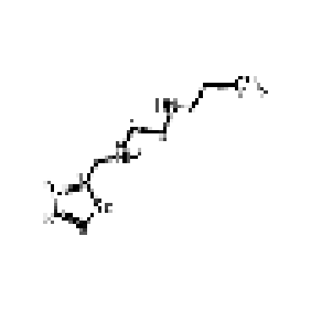 [CH2]CCNCCNCc1nccs1